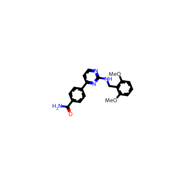 COc1cccc(OC)c1CNc1nccc(-c2ccc(C(N)=O)cc2)n1